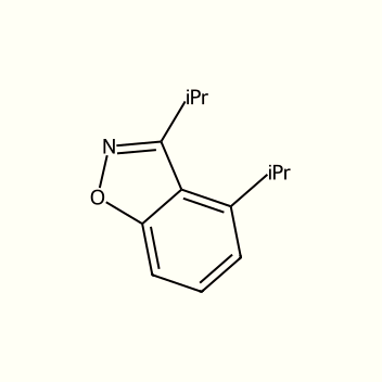 CC(C)c1cccc2onc(C(C)C)c12